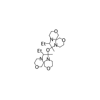 CCC(N1CCOCC1)C(C)(OC(C)(C(CC)N1CCOCC1)N1CCOCC1)N1CCOCC1